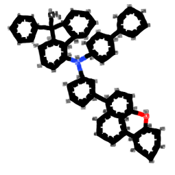 CC1(c2ccccc2)c2ccccc2-c2c(N(c3ccc(-c4ccccc4)cc3)c3cccc(-c4ccc5c6c(cccc46)-c4ccccc4O5)c3)cccc21